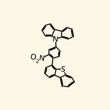 O=[N+]([O-])c1cc(-n2c3ccccc3c3ccccc32)ccc1-c1cccc2c1sc1ccccc12